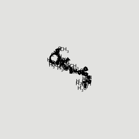 C=C[C@@H]1C[C@]1(NC(=O)[C@@H]1C[C@@H]2CN1C(=O)[C@H](C(C)(C)C)NC(=O)O[C@@H]1C[C@H]1CCCCCc1nc3ccc(OC)cc3nc1O2)C(=O)NS(=O)(=O)C1CC1.COC(=O)N[C@H](C(=O)N1CCC[C@@H]1C1N=CC(c2ccc3c(c2)O[C@@H](c2ccccc2)n2c-3cc3cc(-c4cnc([C@@H]5CCCN5C(=O)[C@@H](NC(=O)OC)C(C)C)[nH]4)ccc32)=N1)C(C)C